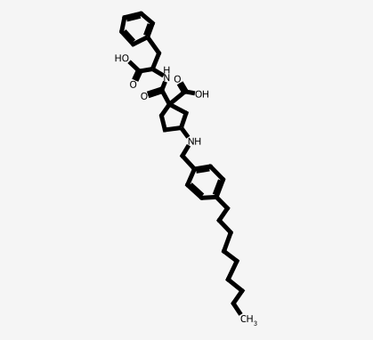 CCCCCCCCCc1ccc(CNC2CCC(C(=O)O)(C(=O)NC(Cc3ccccc3)C(=O)O)C2)cc1